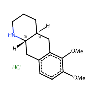 COc1ccc2c(c1OC)C[C@@H]1CCCN[C@H]1C2.Cl